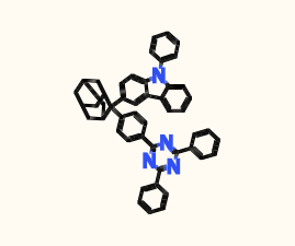 c1ccc(-c2nc(-c3ccccc3)nc(-c3ccc(C4(c5ccc6c(c5)c5ccccc5n6-c5ccccc5)C5CC6CC(C5)CC4C6)cc3)n2)cc1